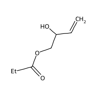 C=CC(O)COC(=O)CC